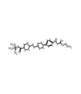 CCOC(=O)CNc1ccc(N2CCN(CCC3CCN(C(=O)OC(C)(C)C)CC3)CC2)cc1